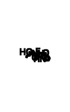 CCCC(O)C(C)(C)NC(=O)c1cc2[nH]c3ccccc3c(=O)c2cc1F